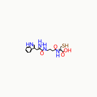 N[C@@H](Cc1c[nH]c2ccccc12)C(=O)NCCCC(=O)N[C@@H](CS)C(=O)O